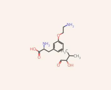 CC(C)C(O)C=O.NCCOc1cccc(C[C@H](N)C(=O)O)c1